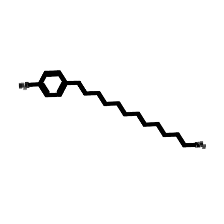 Cc1ccc(CCCCCCCCCCCCN)cc1